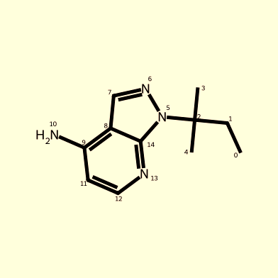 CCC(C)(C)n1ncc2c(N)ccnc21